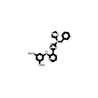 COc1cc(Nc2ncccc2-c2nnc(N(Cc3ccccc3)C3=COCO3)o2)cc(OC)c1